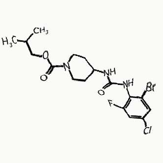 CC(C)COC(=O)N1CCC(NC(=O)Nc2c(F)cc(Cl)cc2Br)CC1